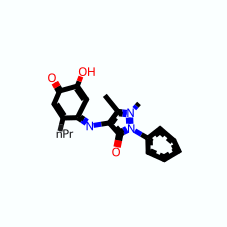 CCCC1=CC(=O)C(O)=C/C1=N\c1c(C)n(C)n(-c2ccccc2)c1=O